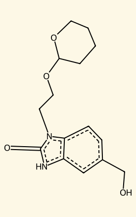 O=c1[nH]c2cc(CO)ccc2n1CCOC1CCCCO1